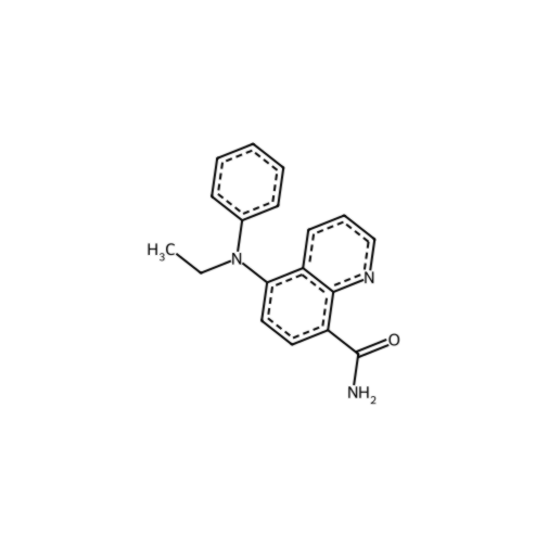 CCN(c1ccccc1)c1ccc(C(N)=O)c2ncccc12